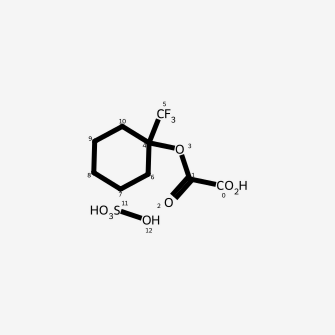 O=C(O)C(=O)OC1(C(F)(F)F)CCCCC1.O=S(=O)(O)O